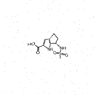 CS(=O)(=O)N[C@@H]1CCc2cc(C(=O)O)[nH]c21